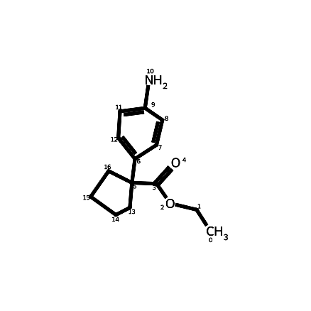 CCOC(=O)C1(c2ccc(N)cc2)CCCC1